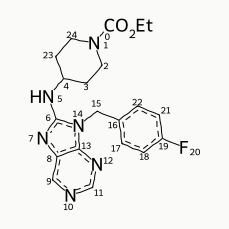 CCOC(=O)N1CCC(Nc2nc3cncnc3n2Cc2ccc(F)cc2)CC1